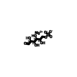 O=C[C@H](O)[C@@H](O)[C@H](O)[C@H](O)COP(=O)([O-])[O-].[Mg+2]